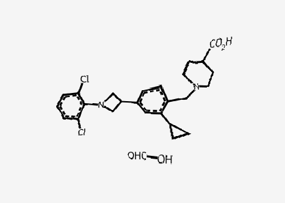 O=C(O)C1CCN(Cc2ccc(C3CN(c4c(Cl)cccc4Cl)C3)cc2C2CC2)CC1.O=CO